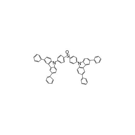 O=[Si](c1ccc(-n2c3ccc(-c4ccccc4)cc3c3cc(-c4ccccc4)ccc32)cc1)c1ccc(-n2c3ccc(-c4ccccc4)cc3c3cc(-c4ccccc4)ccc32)cc1